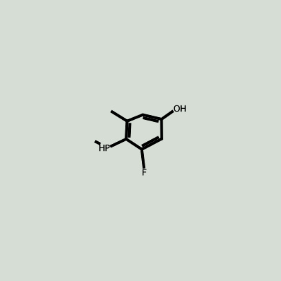 CPc1c(C)cc(O)cc1F